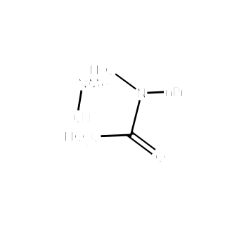 CCCN(C)C(=O)C(=O)O.CNC